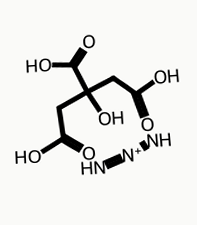 N=[N+]=N.O=C(O)CC(O)(CC(=O)O)C(=O)O